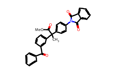 COC(=O)C(C)(c1ccc(N2C(=O)c3ccccc3C2=O)cc1)c1cccc(C(=O)c2ccccc2)c1